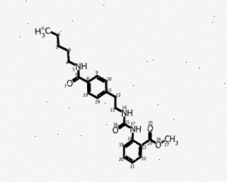 CCCCCNC(=O)c1ccc(CCNC(=O)Nc2ccccc2C(=O)OC)cc1